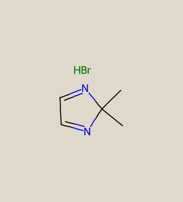 Br.CC1(C)N=CC=N1